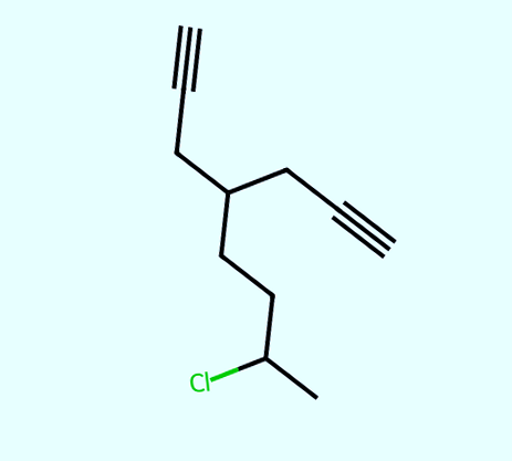 C#CCC(CC#C)CCC(C)Cl